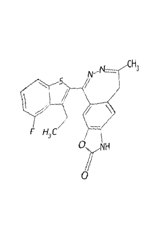 CCc1c(C2=NN=C(C)Cc3cc4[nH]c(=O)oc4cc32)sc2cccc(F)c12